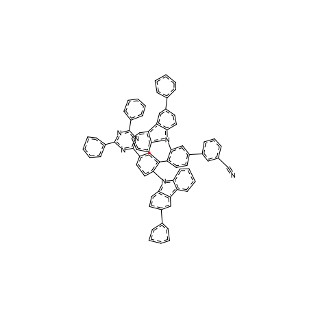 N#Cc1cccc(-c2ccc(-c3cc(-c4nc(-c5ccccc5)nc(-c5ccccc5)n4)ccc3-n3c4ccccc4c4cc(-c5ccccc5)ccc43)c(-n3c4ccccc4c4cc(-c5ccccc5)ccc43)c2)c1